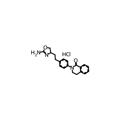 Cl.NC1=NC(CCc2ccc(N3CCc4ccccc4C3=O)cc2)CO1